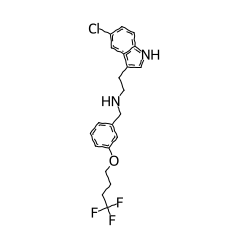 FC(F)(F)CCCOc1cccc(CNCCc2c[nH]c3ccc(Cl)cc23)c1